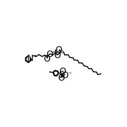 CCCCCCCCCCCCCCCCC[C@H]1OC[C@H](COC(=O)CCCCC[n+]2ccccc2)O1.Cc1ccc(S(=O)(=O)[O-])cc1